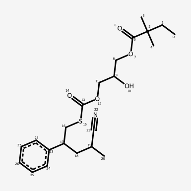 CCC(C)(C)C(=O)OCC(O)COC(=O)SCC(CC(C)C#N)c1ccccc1